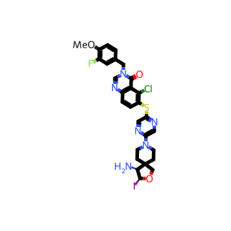 COc1ccc(Cn2cnc3ccc(Sc4cnc(N5CCC6(CC5)CO[C@@H](I)[C@H]6N)cn4)c(Cl)c3c2=O)cc1F